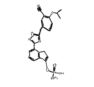 CC(C)Oc1ccc(-c2nc(-c3cccc4c3CC=C4OP(N)(=O)O)no2)cc1C#N